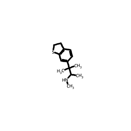 CNC(C)C(C)(C)c1ccc2c(c1)SCC2